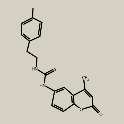 Cc1ccc(CCNC(=S)Nc2ccc3oc(=O)cc(C(F)(F)F)c3c2)cc1